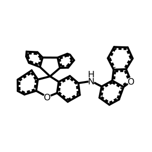 c1ccc2c(c1)Oc1ccc(Nc3cccc4oc5ccccc5c34)cc1C21c2ccccc2-c2ccccc21